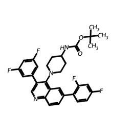 CC(C)(C)OC(=O)NC1CCN(c2c(-c3cc(F)cc(F)c3)cnc3ccc(-c4ccc(F)cc4F)cc23)CC1